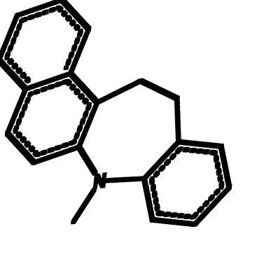 CN1c2ccccc2CCc2c1ccc1ccccc21